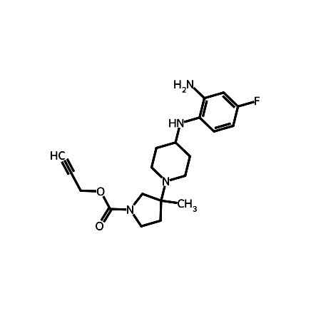 C#CCOC(=O)N1CCC(C)(N2CCC(Nc3ccc(F)cc3N)CC2)C1